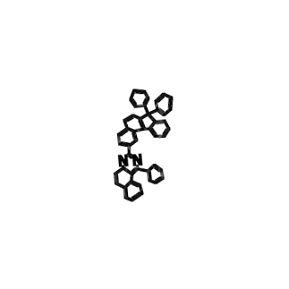 c1ccc(-c2nc(-c3ccc4ccc5c(c4c3)-c3ccccc3C5(c3ccccc3)c3ccccc3)nc3ccc4ccccc4c23)cc1